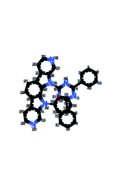 c1ccc(-c2nc(-c3ccccc3)nc(-n3c4cnccc4c4ccc5c6ccncc6n(-c6ccccc6)c5c43)n2)cc1